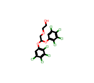 OCCOCC(Oc1cc(Cl)c(Cl)c(Cl)c1Cl)Oc1cc(Cl)c(Cl)c(Cl)c1Cl